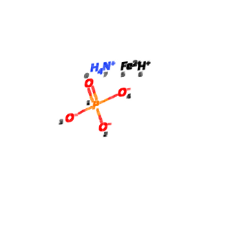 O=P([O-])([O-])[O-].[Fe+2].[H+].[NH4+]